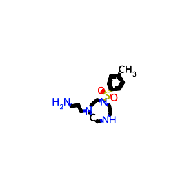 Cc1ccc(S(=O)(=O)N2CCNCCN(CCCN)CC2)cc1